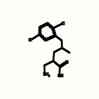 CC(Cc1cc(Cl)ccc1Cl)CC(CN)C(=O)O